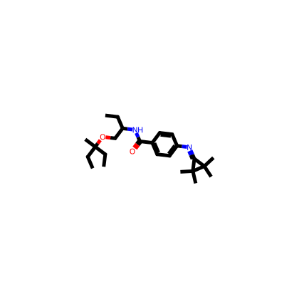 CCC(COC(C)(CC)CC)NC(=O)c1ccc(N=C2C(C)(C)C2(C)C)cc1